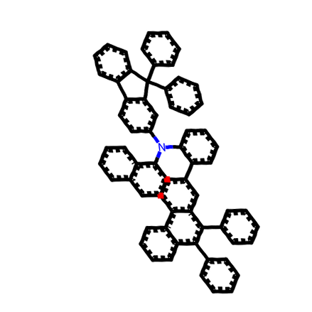 c1ccc(-c2c(-c3ccccc3)c3cc(-c4ccccc4N(c4ccc5c(c4)C(c4ccccc4)(c4ccccc4)c4ccccc4-5)c4cccc5ccccc45)ccc3c3ccccc23)cc1